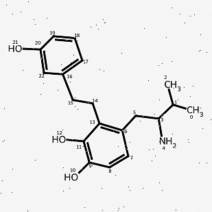 CC(C)C(N)Cc1ccc(O)c(O)c1CCc1cccc(O)c1